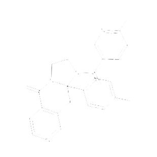 O=C(c1ccc(F)nc1)N1CCN2C(=O)c3ccncc3CC12c1ccc(Cl)cc1